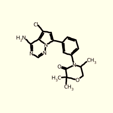 CC1COC(C)(C)C(=O)N1c1cccc(-c2cc(Cl)c3c(N)ncnn23)c1